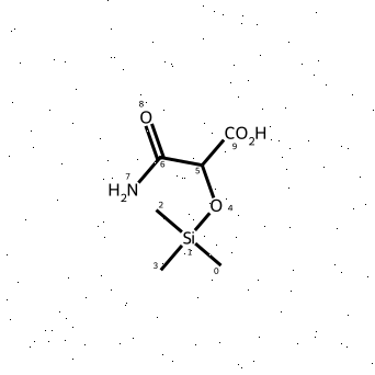 C[Si](C)(C)OC(C(N)=O)C(=O)O